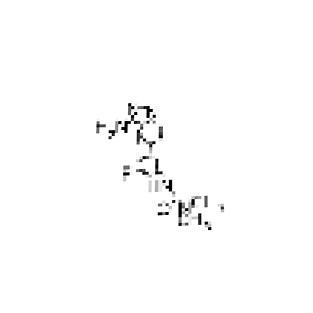 CN(C)C(=O)CNCc1cc(F)cc(-c2ccc3ncnc(N)c3n2)c1